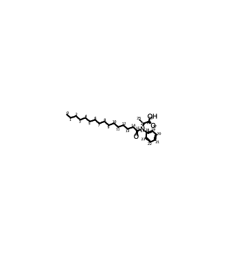 CCCCCCCCCCCCCCCC(=O)N(c1ccccc1)[C@@H](C)C(=O)O